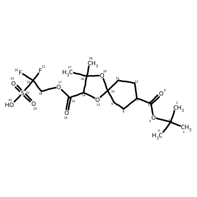 CC(C)(C)OC(=O)C1CCC2(CC1)OC(C(=O)OCC(F)(F)S(=O)(=O)O)C(C)(C)O2